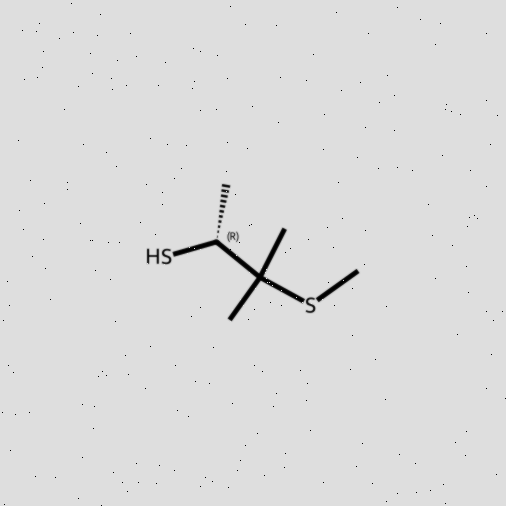 CSC(C)(C)[C@@H](C)S